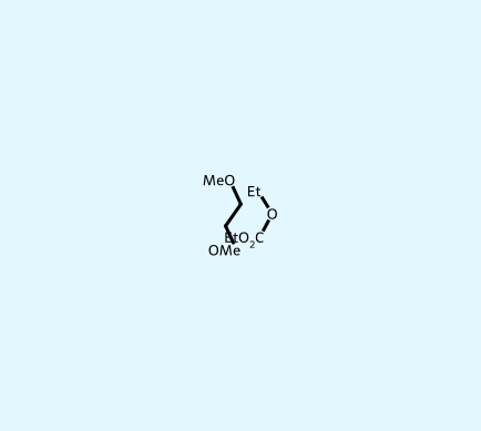 CCOC(=O)OCC.COCCOC